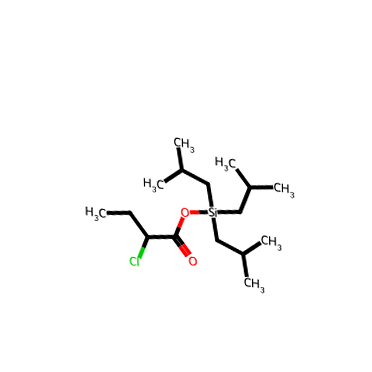 CCC(Cl)C(=O)O[Si](CC(C)C)(CC(C)C)CC(C)C